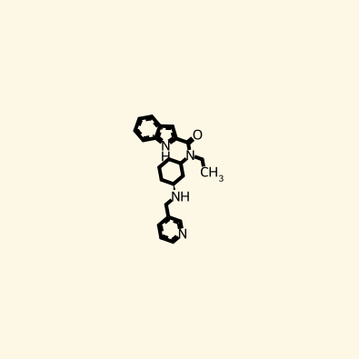 CCN(C(=O)c1cc2ccccc2[nH]1)C1CCC[C@@H](NCc2cccnc2)C1